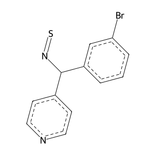 S=NC(c1ccncc1)c1cccc(Br)c1